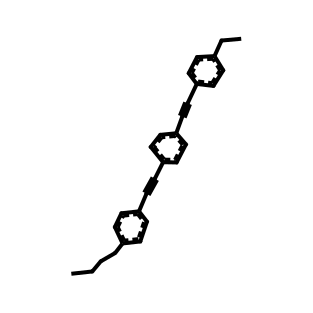 CCCCc1ccc(C#Cc2ccc(C#Cc3ccc(CC)cc3)cc2)cc1